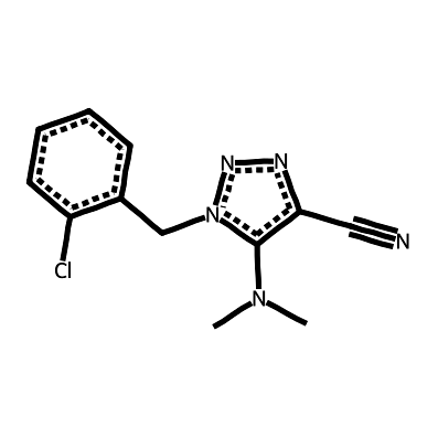 CN(C)c1c(C#N)nnn1Cc1ccccc1Cl